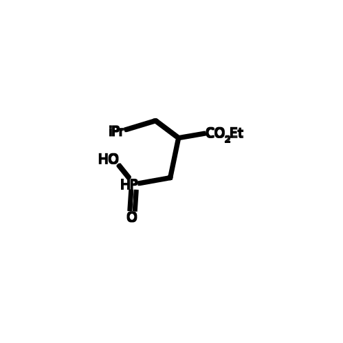 CCOC(=O)C(CC(C)C)C[PH](=O)O